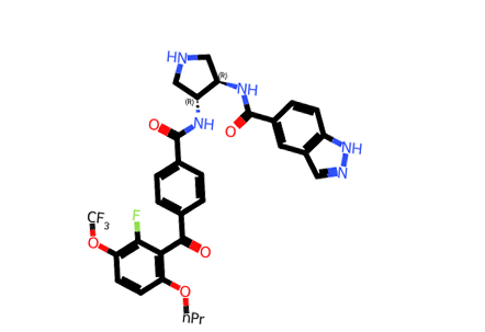 CCCOc1ccc(OC(F)(F)F)c(F)c1C(=O)c1ccc(C(=O)N[C@@H]2CNC[C@H]2NC(=O)c2ccc3[nH]ncc3c2)cc1